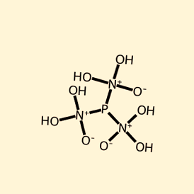 [O-][N+](O)(O)P([N+]([O-])(O)O)[N+]([O-])(O)O